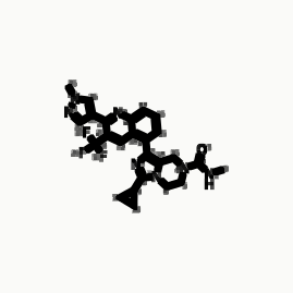 CNC(=O)N1CCn2c(C3CC3)nc(-c3cccc4nc(-c5cnn(C)c5)c(C(F)(F)F)cc34)c2C1